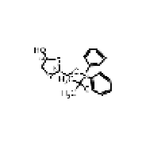 CC(C)(C)[Si](OC[C@H]1SC[C@@H](O)S1)(c1ccccc1)c1ccccc1